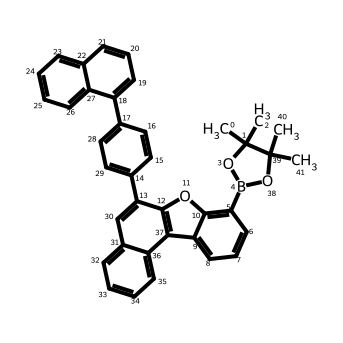 CC1(C)OB(c2cccc3c2oc2c(-c4ccc(-c5cccc6ccccc56)cc4)cc4ccccc4c23)OC1(C)C